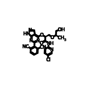 C[C@H](CO)OC[C@H](Oc1nc(-c2c(C#N)cccc2C#N)nc2[nH]ncc12)C(=O)Nc1ccc(Cl)cn1